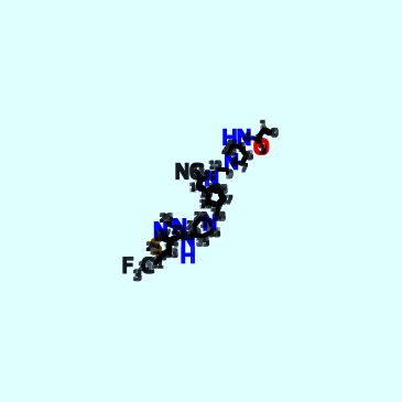 C=CC(=O)NC1CCN(CCn2c(C#N)cc3cc(CN4CCC(Nc5ncnc6sc(CC(F)(F)F)cc56)CC4)ccc32)CC1